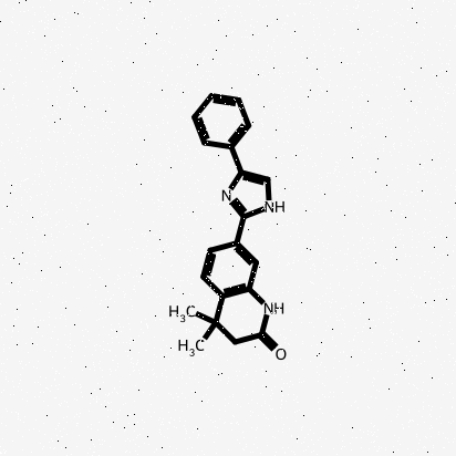 CC1(C)CC(=O)Nc2cc(-c3nc(-c4ccccc4)c[nH]3)ccc21